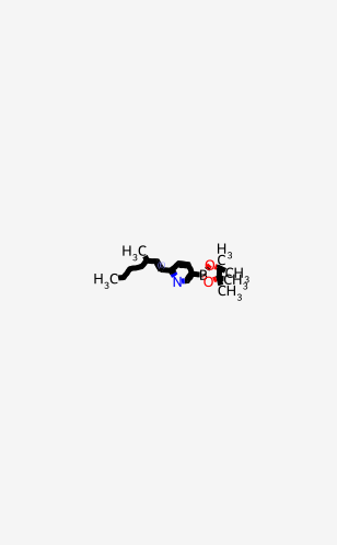 CCCCC(C)/C=C/c1ccc(B2OC(C)(C)C(C)(C)O2)cn1